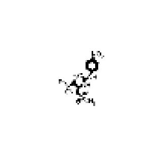 CCN(C#N)C(=O)C(CS(C)(=O)=O)NC(=O)Nc1ccc([N+](=O)[O-])cc1